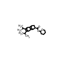 CC(C)C1C2CC(C1C(C)C)C1C3CC(CC3C(=O)OC3CCCCO3)C21